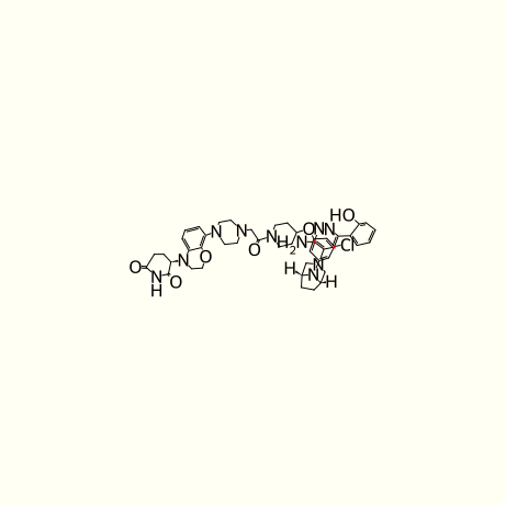 Nc1nnc(-c2ccccc2O)cc1N1C[C@H]2CC[C@@H](C1)N2c1cc(Cl)cc(OC2CCN(C(=O)CN3CCN(c4cccc5c4OCCN5[C@@H]4CCC(=O)NC4=O)CC3)CC2)c1